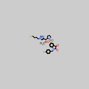 CO[C@H](c1cn(CCCCF)nn1)C1CCCN1S(=O)(=O)c1ccc2c(c1)C(=O)C(=O)N2Cc1ccc(F)cc1